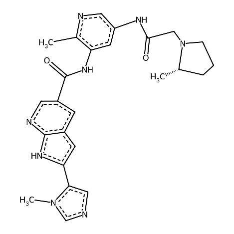 Cc1ncc(NC(=O)CN2CCC[C@@H]2C)cc1NC(=O)c1cnc2[nH]c(-c3cncn3C)cc2c1